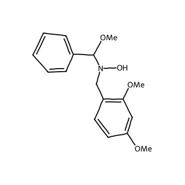 COc1ccc(CN(O)C(OC)c2ccccc2)c(OC)c1